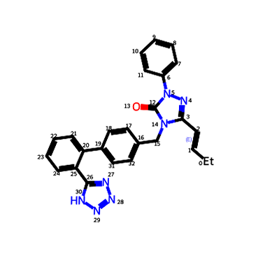 CC/C=C/c1nn(-c2ccccc2)c(=O)n1Cc1ccc(-c2ccccc2-c2nnn[nH]2)cc1